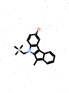 CC1=C2C=CC=CC2c2c1n(C[Si](C)(C)C)c1ccc(Br)cc21